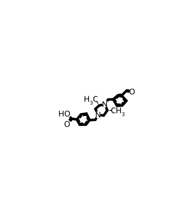 C[C@@H]1CN(Cc2ccc(C(=O)O)cc2)C[C@H](C)N1Cc1cccc(C=O)c1